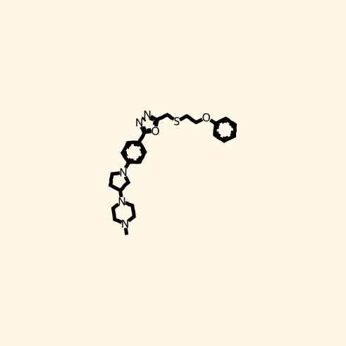 CN1CCN(C2CCN(c3ccc(-c4nnc(CSCCOc5ccccc5)o4)cc3)C2)CC1